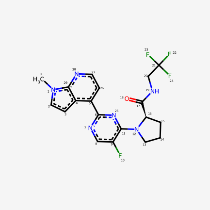 Cn1ccc2c(-c3ncc(F)c(N4CCC[C@@H]4C(=O)NCC(F)(F)F)n3)ccnc21